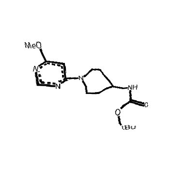 COc1cc(N2CCC(NC(=O)OC(C)(C)C)CC2)ncn1